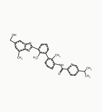 Cc1c(NC(=O)c2ccc(C(C)C)cn2)cccc1-c1cccc(-c2nc3c(C)cc(CO)cn3n2)c1C